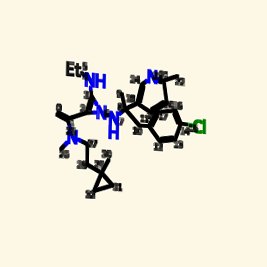 C=C(C1=C(NCC)N1NC(C)(Cc1ccc(Cl)cc1)c1ccc(C)nc1)N(C)CCC1(C)CC1